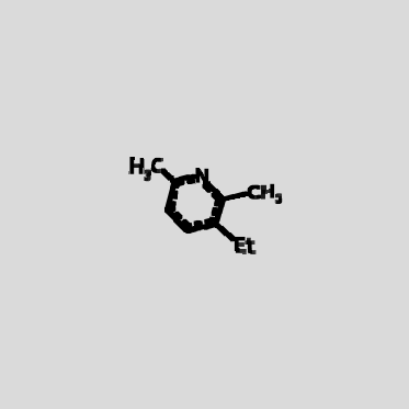 CCc1ccc(C)nc1C